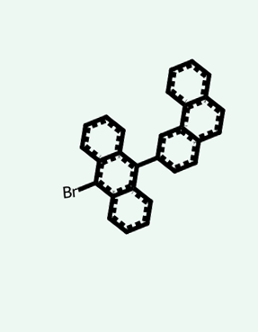 Brc1c2ccccc2c(-c2ccc3ccc4ccccc4c3c2)c2ccccc12